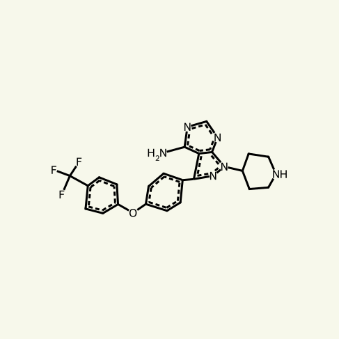 Nc1ncnc2c1c(-c1ccc(Oc3ccc(C(F)(F)F)cc3)cc1)nn2C1CCNCC1